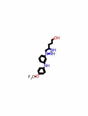 OCCCC1CN(c2cccc(Nc3ccc(OC(F)(F)F)cc3)c2)NN1